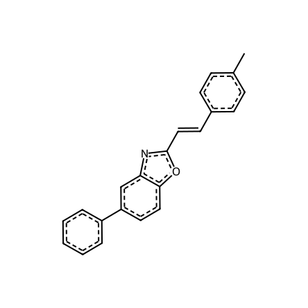 Cc1ccc(/C=C/c2nc3cc(-c4ccccc4)ccc3o2)cc1